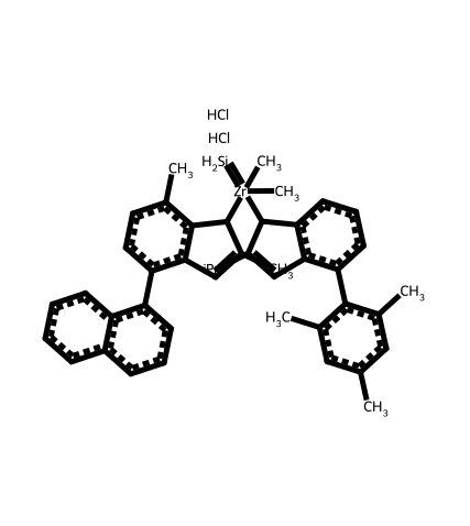 CC1=Cc2c(-c3cccc4ccccc34)ccc(C)c2[CH]1[Zr]([CH3])([CH3])(=[SiH2])[CH]1C(C(C)C)=Cc2c(-c3c(C)cc(C)cc3C)cccc21.Cl.Cl